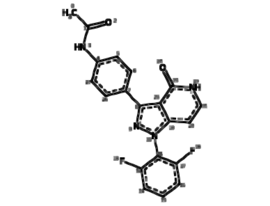 CC(=O)Nc1ccc(-c2nn(-c3c(F)cccc3F)c3cc[nH]c(=O)c23)cc1